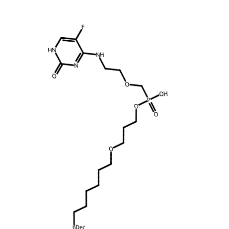 CCCCCCCCCCCCCCCCOCCCOP(=O)(O)COCCNc1nc(=O)[nH]cc1F